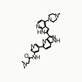 CN(C)CC(=O)Nc1cncc(-c2ccc3[nH]nc(-c4cc5c(N6CCN(C)CC6)ccnc5[nH]4)c3n2)c1